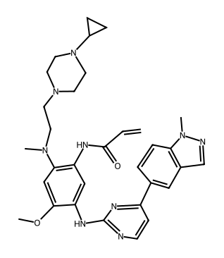 C=CC(=O)Nc1cc(Nc2nccc(-c3ccc4c(cnn4C)c3)n2)c(OC)cc1N(C)CCN1CCN(C2CC2)CC1